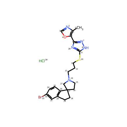 Cc1ncoc1-c1n[nH]c(SCCCN2CCC3(CCc4cc(Br)ccc43)C2)n1.Cl